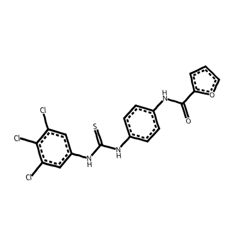 O=C(Nc1ccc(NC(=S)Nc2cc(Cl)c(Cl)c(Cl)c2)cc1)c1ccco1